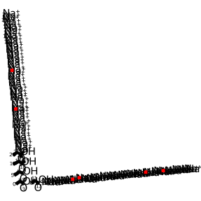 C=CC(=O)O.C=CC(=O)O.C=CC(=O)O.C=CC(=O)O.C=CC(=O)O.[Na+].[Na+].[Na+].[Na+].[Na+].[Na+].[Na+].[Na+].[Na+].[Na+].[Na+].[Na+].[Na+].[Na+].[Na+].[Na+].[Na+].[Na+].[Na+].[Na+].[Na+].[Na+].[Na+].[Na+].[Na+].[Na+].[Na+].[Na+].[Na+].[Na+].[Na+].[Na+].[Na+].[Na+].[Na+].[Na+].[Na+].[Na+].[Na+].[Na+].[Na+].[Na+].[Na+].[Na+].[Na+].[Na+].[Na+].[Na+].[Na+].[Na+].[Na+].[Na+].[Na+].[Na+].[Na+].[Na+].[Na+].[Na+].[Na+].[Na+].[Na+].[Na+].[Na+].[Na+].[Na+].[Na+].[Na+].[Na+].[Na+].[Na+].[Na+].[Na+].[Na+].[Na+].[Na+].[Na+].[Na+].[Na+].[Na+].[Na+].[Na+].[Na+].[Na+].[Na+].[Na+].[Na+].[Na+].[Na+].[Na+].[Na+].[Na+].[Na+].[Na+].[Na+].[Na+]